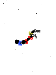 CCCCCCCCCCCCSC(=S)SC(C)C(=O)OCCCOC(=O)c1ccc(-c2nnn(-c3ccccc3)n2)cc1